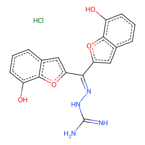 Cl.N=C(N)NN=C(c1cc2cccc(O)c2o1)c1cc2cccc(O)c2o1